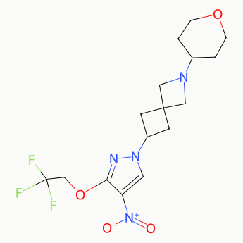 O=[N+]([O-])c1cn(C2CC3(C2)CN(C2CCOCC2)C3)nc1OCC(F)(F)F